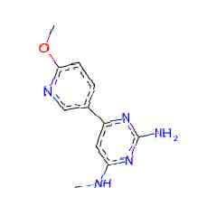 CNc1cc(-c2ccc(OC)nc2)nc(N)n1